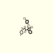 CCn1c(COc2ccc(Cl)cc2)c(C(=O)C(=O)N(C)C2CCN(C)CC2)c2ccccc21